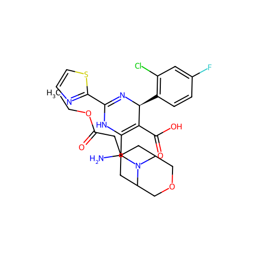 CCOC(=O)CC1(N)CC2COCC(C1)N2CC1=C(C(=O)O)[C@H](c2ccc(F)cc2Cl)N=C(c2nccs2)N1